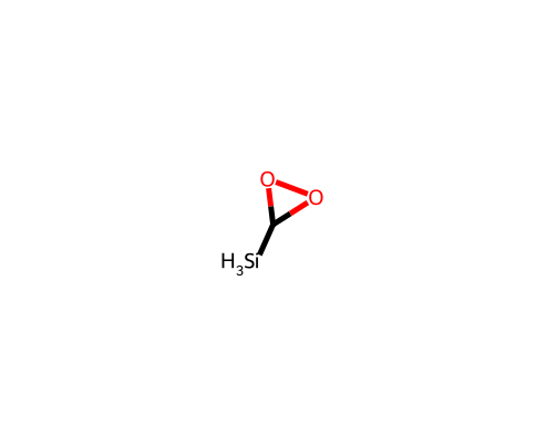 [SiH3]C1OO1